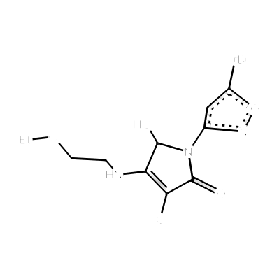 CCOCCNC1=C(Cl)C(=O)N(c2cc(C(C)(C)C)on2)C1O